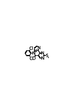 CSc1ncc2c(=O)n(-c3c(Cl)cccc3Cl)n3ccnc3c2n1